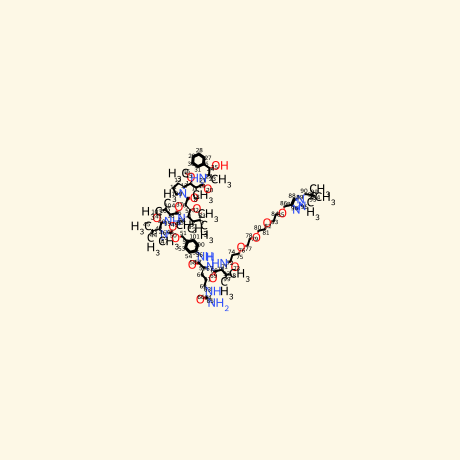 CC[C@H](C)[C@@H]([C@@H](CC(=O)N1CCC[C@H]1[C@H](OC)[C@@H](C)C(=O)N[C@H](C)[C@@H](O)c1ccccc1)OC)N(C)C(=O)[C@@H](NC(=O)[C@H](C(C)C)N(C)C(=O)OCc1ccc(NC(=O)[C@H](CCCNC(N)=O)NC(=O)[C@@H](NC(=O)CCOCCOCCOCCOCc2cn(CC(C)(C)C)nn2)C(C)C)cc1)C(C)C